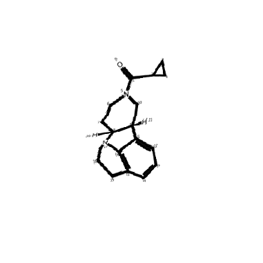 O=C(C1CC1)N1CC[C@@H]2[C@H](C1)c1cccc3c1N2CC3